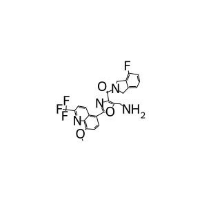 COc1ccc(-c2nc(C(=O)N3Cc4cccc(F)c4C3)c(CN)o2)c2ccc(C(F)(F)F)nc12